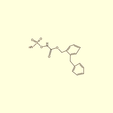 CCCS(=O)(=O)ONC(=O)OCc1ccccc1Cc1ccccc1